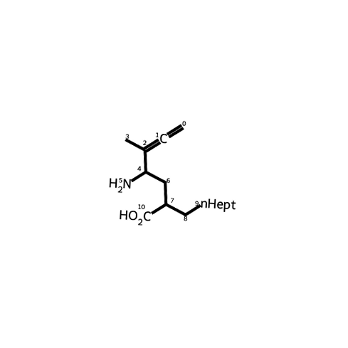 C=C=C(C)C(N)CC(CCCCCCCC)C(=O)O